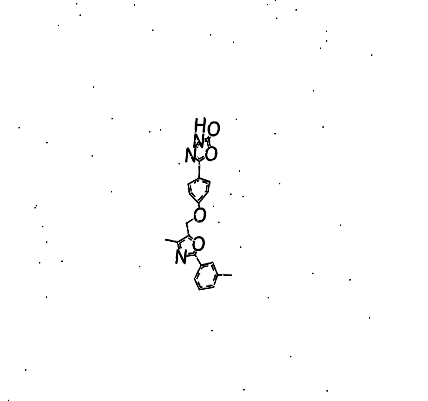 Cc1cccc(-c2nc(C)c(COc3ccc(-c4n[nH]c(=O)o4)cc3)o2)c1